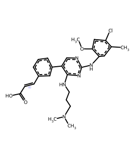 COc1cc(Cl)c(C)cc1Nc1ncc(-c2cccc(/C=C/C(=O)O)c2)c(NCCCN(C)C)n1